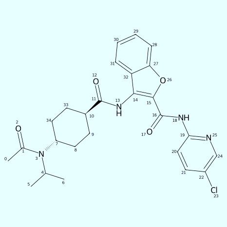 CC(=O)N(C(C)C)[C@H]1CC[C@H](C(=O)Nc2c(C(=O)Nc3ccc(Cl)cn3)oc3ccccc23)CC1